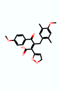 COc1ccc(C(=O)C(Cc2cc(C)c(OC)cc2C)=C(C(=O)O)C2=CCOO2)cc1